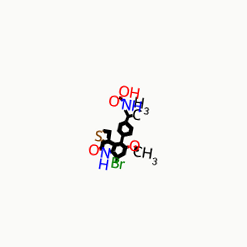 COc1cc(Br)c2[nH]c(=O)c3sccc3c2c1-c1ccc(C(C)CNC(=O)O)cc1